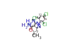 CCCc1nn(-c2c(Cl)cc(Cl)cc2Cl)c(N)c1C(N)=O